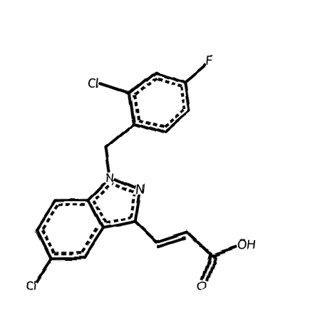 O=C(O)C=Cc1nn(Cc2ccc(F)cc2Cl)c2ccc(Cl)cc12